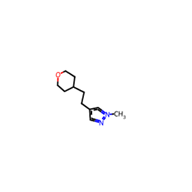 Cn1cc(CCC2CCOCC2)cn1